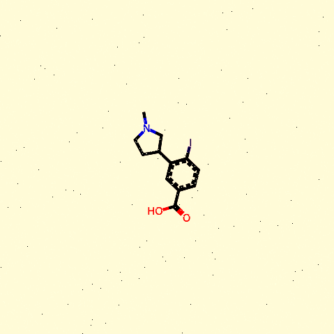 CN1CCC(c2cc(C(=O)O)ccc2I)C1